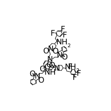 N[C@H](Cc1cc(F)c(F)cc1F)C1CCN(C(=O)CCNC(CCN2C(=O)c3ccccc3C2=O)OC(=O)/C=C\C(=O)N(CCCN2C(=O)c3ccccc3C2=O)CCC(=O)N2CCC([C@H](N)Cc3cc(F)c(F)cc3F)CC2)CC1